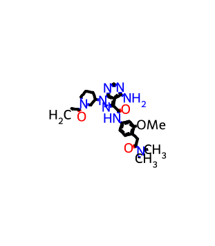 C=CC(=O)N1CCCC(n2nc(C(=O)Nc3ccc(CC(=O)N(C)C)c(OC)c3)c3c(N)ncnc32)C1